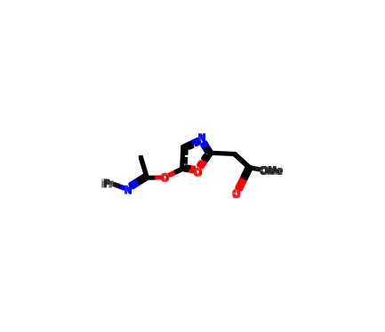 COC(=O)Cc1ncc(O/C(C)=N/C(C)C)o1